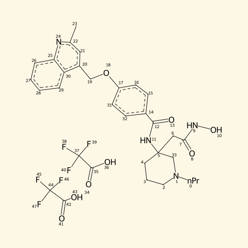 CCCN1CCCC(CC(=O)NO)(NC(=O)c2ccc(OCc3cc(C)nc4ccccc34)cc2)C1.O=C(O)C(F)(F)F.O=C(O)C(F)(F)F